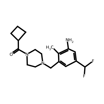 Cc1c(N)cc(C(F)F)cc1CN1CCN(C(=O)C2CCC2)CC1